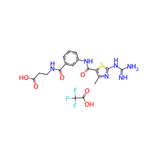 Cc1nc(NC(=N)N)sc1C(=O)Nc1cccc(C(=O)NCCC(=O)O)c1.O=C(O)C(F)(F)F